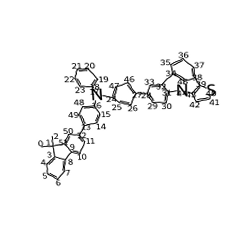 CC1(C)c2ccccc2-c2ccc(-c3ccc(N(c4ccccc4)c4ccc(-c5ccc6c(c5)c5cccc7c8sccc8n6c57)cc4)cc3)cc21